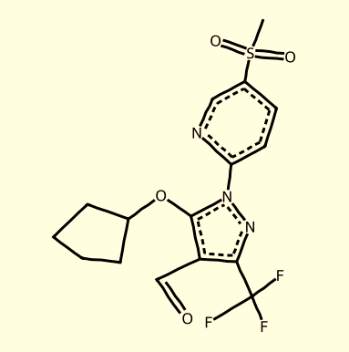 CS(=O)(=O)c1ccc(-n2nc(C(F)(F)F)c(C=O)c2OC2CCCC2)nc1